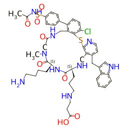 CC(=O)NS(=O)(=O)c1ccc(-c2ccc(Cl)c3c2CNC(=O)CN(C)C(=O)[C@H](CCCCN)NC(=O)[C@H](CCCNCCC(=O)O)NCc2c(Cc4c[nH]c5ccccc45)ccnc2S3)cc1